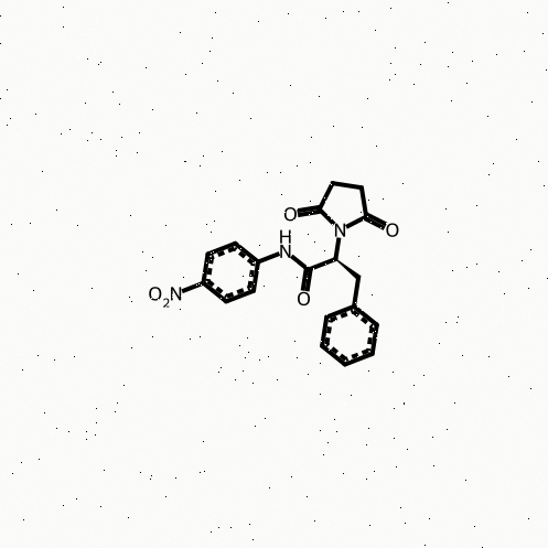 O=C(Nc1ccc([N+](=O)[O-])cc1)[C@H](Cc1ccccc1)N1C(=O)CCC1=O